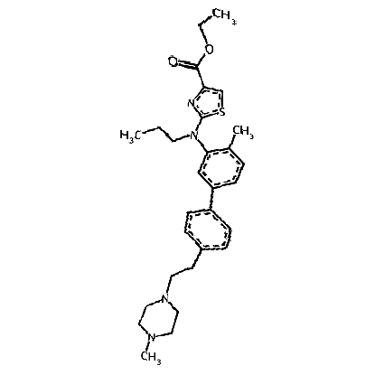 CCCN(c1nc(C(=O)OCC)cs1)c1cc(-c2ccc(CCN3CCN(C)CC3)cc2)ccc1C